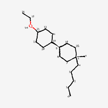 CCCCC[C@]1(C)CC[C@@H](C2CCC(OCC)CC2)CC1